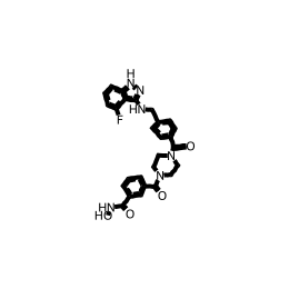 O=C(NO)c1cccc(C(=O)N2CCN(C(=O)c3ccc(CNc4n[nH]c5cccc(F)c45)cc3)CC2)c1